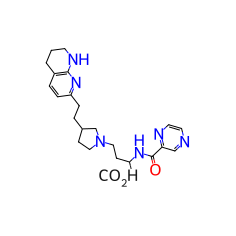 O=C(NC(CCN1CCC(CCc2ccc3c(n2)NCCC3)C1)C(=O)O)c1cnccn1